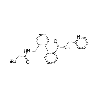 CCC(C)CC(=O)NCc1ccccc1-c1ccccc1C(=O)NCc1ccccn1